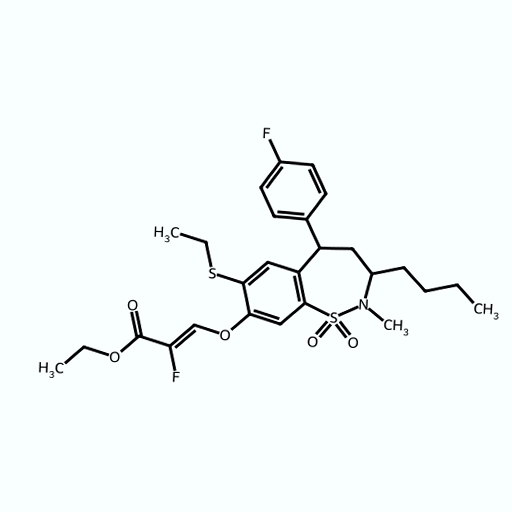 CCCCC1CC(c2ccc(F)cc2)c2cc(SCC)c(O/C=C(\F)C(=O)OCC)cc2S(=O)(=O)N1C